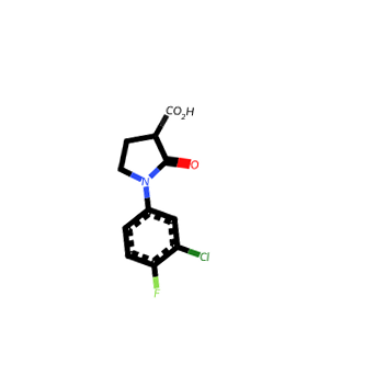 O=C(O)C1CCN(c2ccc(F)c(Cl)c2)C1=O